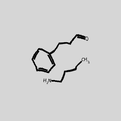 CCCCN.O=CCCc1ccccc1